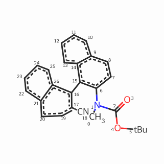 CN(C(=O)OC(C)(C)C)c1ccc2ccccc2c1-c1c(C#N)ccc2ccccc12